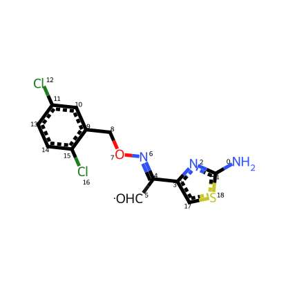 Nc1nc(/C([C]=O)=N/OCc2cc(Cl)ccc2Cl)cs1